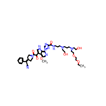 CCOCCOCCN(CCO)CCCN(CCO)CCCNC(=O)c1ncn(-c2ncc(OC)c3c(C(=O)C(=O)N4CCC(=C(C#N)c5ccccc5)CC4)c[nH]c23)n1